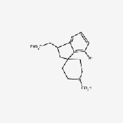 CCOC(=O)CC1CC2(CCN(C(=O)O)CC2)c2c(Br)cccc21